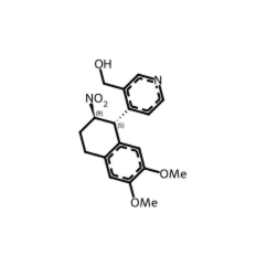 COc1cc2c(cc1OC)[C@@H](c1ccncc1CO)[C@H]([N+](=O)[O-])CC2